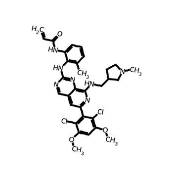 C=CC(=O)Nc1cccc(C)c1Nc1ncc2cc(-c3c(Cl)c(OC)cc(OC)c3Cl)nc(NCC3CCN(C)C3)c2n1